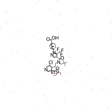 CC[Si](CC)(CC)OC(CN(CC(C)(C)C)C(=O)c1cnn(C23CCC(C(=O)O)(CC2)CC3)c1C(F)(F)F)c1c(Cl)cncc1Cl